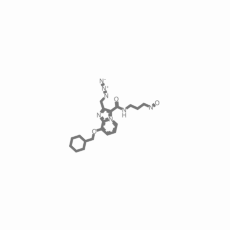 [N-]=[N+]=NCc1nc2c(OCC3CCCCC3)cccn2c1C(=O)NCCCN=O